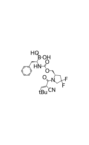 CC(C)(C)/C=C(\C#N)C(=O)N1CC(F)(F)C[C@@H]1COC(=O)N[C@@H](Cc1ccccc1)B(O)O